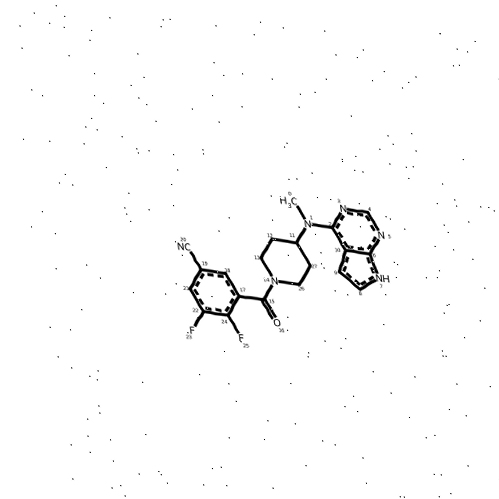 CN(c1ncnc2[nH]ccc12)C1CCN(C(=O)c2cc(C#N)cc(F)c2F)CC1